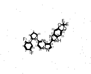 Fc1ccc(F)c([C@H]2CCCN2c2ccn3ncc(-c4nc5cc6c(cc5[nH]4)OC(F)(F)O6)c3n2)c1